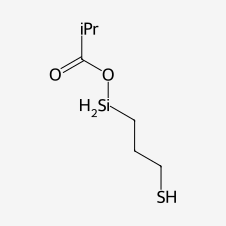 CC(C)C(=O)O[SiH2]CCCS